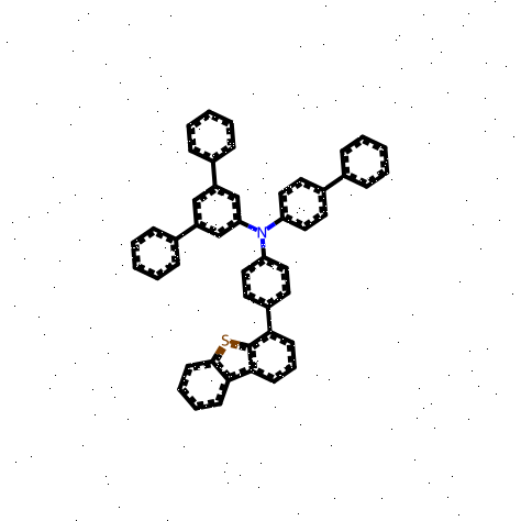 c1ccc(-c2ccc(N(c3ccc(-c4cccc5c4sc4ccccc45)cc3)c3cc(-c4ccccc4)cc(-c4ccccc4)c3)cc2)cc1